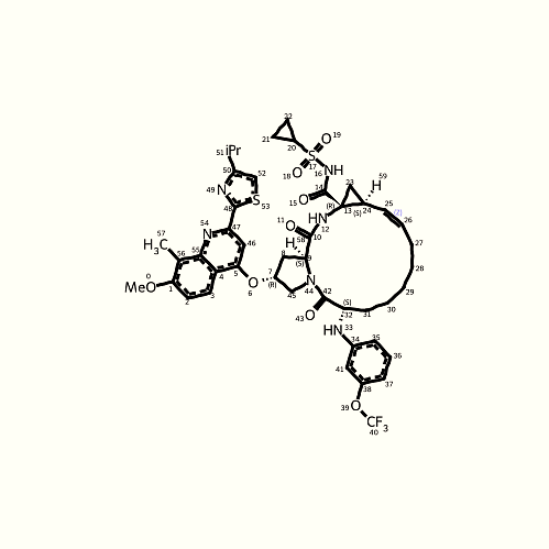 COc1ccc2c(O[C@@H]3C[C@H]4C(=O)N[C@]5(C(=O)NS(=O)(=O)C6CC6)C[C@H]5/C=C\CCCCC[C@H](Nc5cccc(OC(F)(F)F)c5)C(=O)N4C3)cc(-c3nc(C(C)C)cs3)nc2c1C